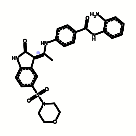 C/C(Nc1ccc(C(=O)Nc2ccccc2N)cc1)=C1/C(=O)Nc2ccc(S(=O)(=O)N3CCOCC3)cc21